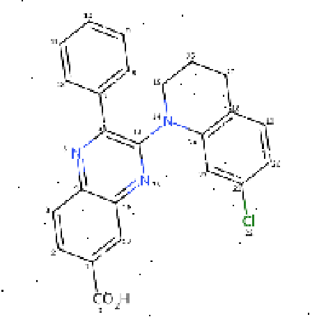 O=C(O)c1ccc2nc(-c3ccccc3)c(N3CCCc4ccc(Cl)cc43)nc2c1